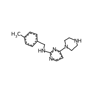 Cc1ccc(CNc2nccc(N3CCNCC3)n2)cc1